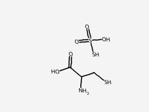 NC(CS)C(=O)O.O=S(=O)(O)S